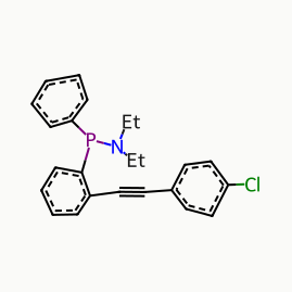 CCN(CC)P(c1ccccc1)c1ccccc1C#Cc1ccc(Cl)cc1